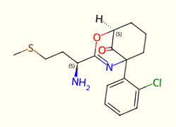 CSCC[C@H](N)C1=NC2(c3ccccc3Cl)CCC[C@H](O1)C2=O